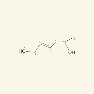 CC(O)C/C=C/CO